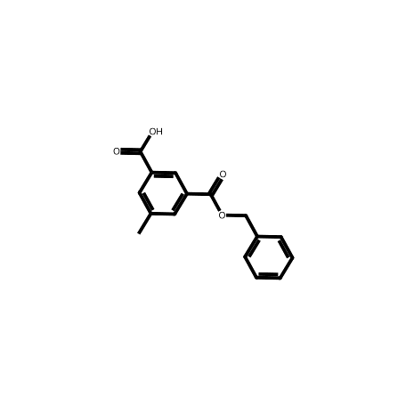 Cc1cc(C(=O)O)cc(C(=O)OCc2ccccc2)c1